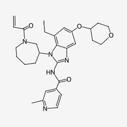 C=CC(=O)N1CCCCC(n2c(NC(=O)c3ccnc(C)c3)nc3cc(OC4CCOCC4)cc(CI)c32)C1